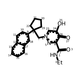 CCNC(=O)c1nn(CC2(c3ccc4ccccc4c3)CCCC2)cc(O)c1=O